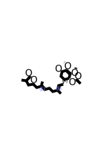 COC1=C(OC)C(OC(C)=O)[C@H](C/C=C(\C)CC/C=C(\C)CC2CC(C)C(=O)O2)CC1=O